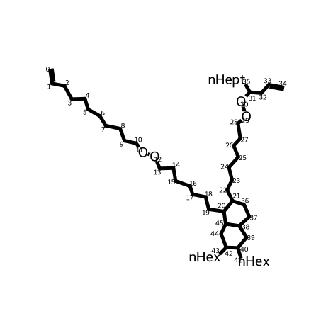 C=CCCCCCCCCCOOCCCCCCCC1C(CCCCCCCOOC(CC=C)CCCCCCC)CCC2CC(CCCCCC)C(CCCCCC)CC21